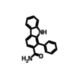 NC(=O)c1ccc2c([nH]c3ccccc32)c1-c1ccccc1